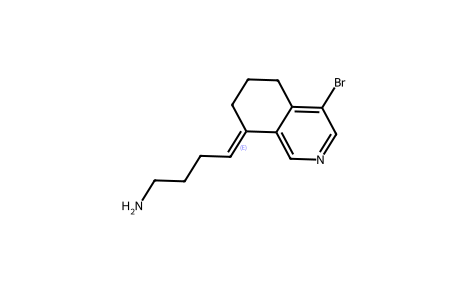 NCCC/C=C1\CCCc2c(Br)cncc21